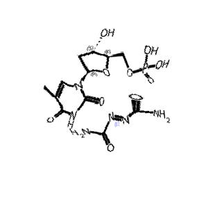 Cc1cn([C@H]2C[C@H](O)[C@@H](COP(=O)(O)O)O2)c(=O)[nH]c1=O.NC(=O)/N=N/C(N)=O